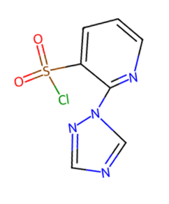 O=S(=O)(Cl)c1cccnc1-n1cncn1